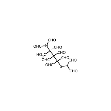 O=CC(C=O)SC(C=O)(C=O)C(C=O)(C=O)[C@@](C=O)(C(=O)O)N(C=O)C=O